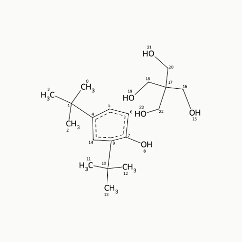 CC(C)(C)c1ccc(O)c(C(C)(C)C)c1.OCC(CO)(CO)CO